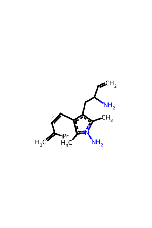 C=CC(N)Cc1c(/C=C\C(=C)C(C)C)c(C)n(N)c1C